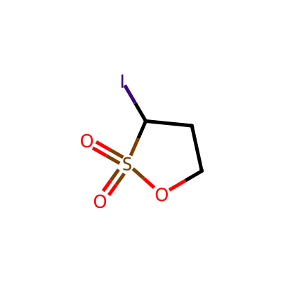 O=S1(=O)OCCC1I